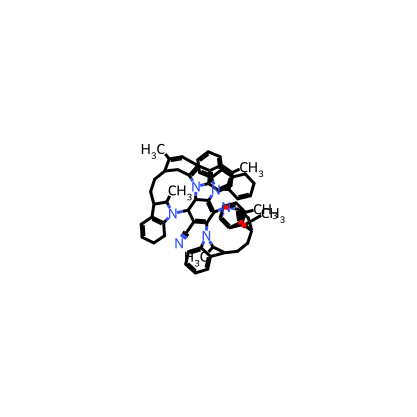 CC1=Cc2c3n(c4ccc(C)cc24)C2=C(n4c5c(c6ccccc64)CCC=C5)C4C(C(C#N)=C2N2c5ccccc5C(CCC1C3)C2C)N1C2=C(C=CCC2)C(CCC2Cc3c(c5cc(C)ccc5n34)C=C2C)C1C